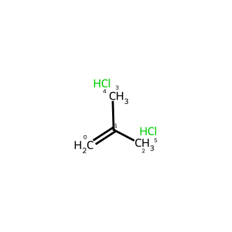 C=C(C)C.Cl.Cl